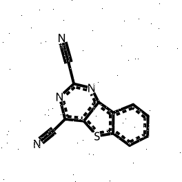 N#Cc1nc(C#N)c2sc3ccccc3c2n1